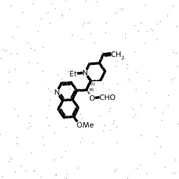 C=CC1CC[C@@H]([C@H](OC=O)c2ccnc3ccc(OC)cc23)N(CC)C1